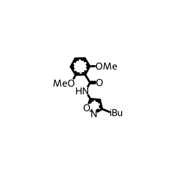 CCC(C)c1cc(NC(=O)c2c(OC)cccc2OC)on1